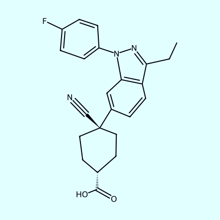 CCc1nn(-c2ccc(F)cc2)c2cc([C@]3(C#N)CC[C@H](C(=O)O)CC3)ccc12